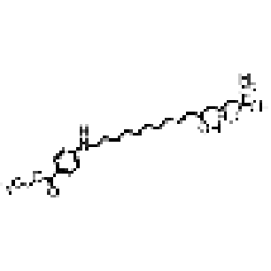 CCOC(=O)c1ccc(NCCCCCCCCCCC(O)CCCC(C)(C)C)cc1